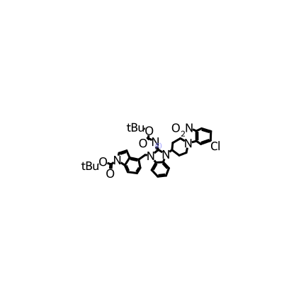 CC(C)(C)OC(=O)/N=c1\n(Cc2cccc3c2ccn3C(=O)OC(C)(C)C)c2ccccc2n1C1CCN(c2cc(Cl)ccc2[N+](=O)[O-])CC1